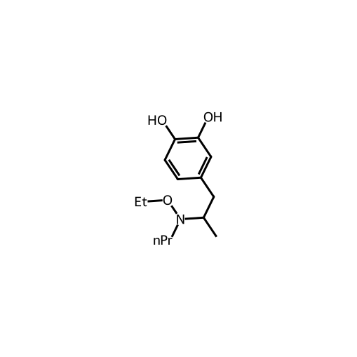 CCCN(OCC)C(C)Cc1ccc(O)c(O)c1